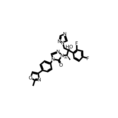 Cc1nc(-c2ccc(-n3cnn([C@H](C)[C@](O)(Cn4cncn4)c4ccc(F)cc4F)c3=O)cc2)co1